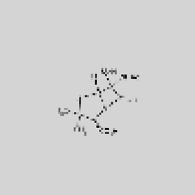 CNC1(NC(C)=O)C(=O)N2[C@@H](C(=O)O)C(C)(C)S[C@@H]21